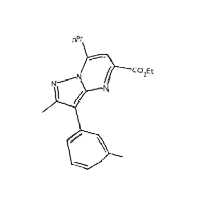 CCCc1cc(C(=O)OCC)nc2c(-c3cccc(C)c3)c(C)nn12